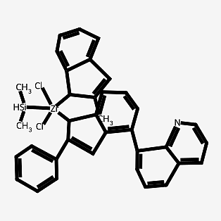 CC1=Cc2ccccc2[CH]1[Zr]([Cl])([Cl])([CH]1C(c2ccccc2)=Cc2c(-c3cccc4cccnc34)cccc21)[SiH](C)C